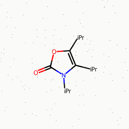 CC(C)c1oc(=O)n(C(C)C)c1C(C)C